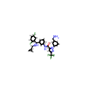 NCc1cccc(-n2nc(C(F)(F)F)cc2C(=O)Nc2cccc(C(NCC3CC3)c3cc(F)ccc3F)c2)c1